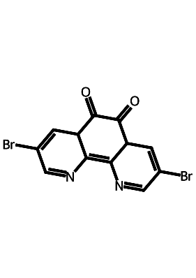 O=C1C(=O)C2C=C(Br)C=NC2=C2N=CC(Br)=CC12